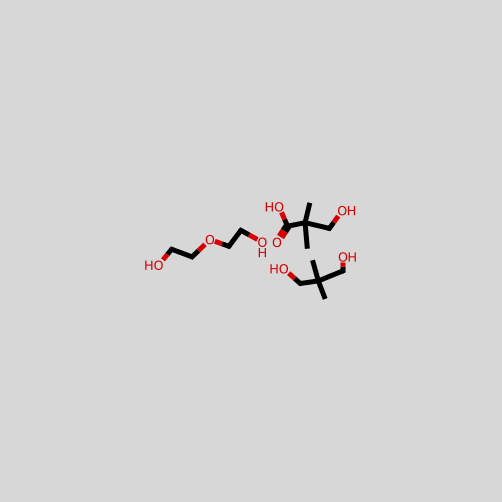 CC(C)(CO)C(=O)O.CC(C)(CO)CO.OCCOCCO